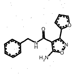 Nc1onc(-c2ccco2)c1C(=O)NCc1ccccc1